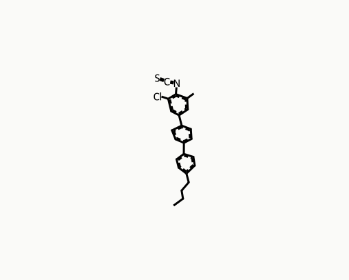 CCCCc1ccc(-c2ccc(-c3cc(C)c(N=C=S)c(Cl)c3)cc2)cc1